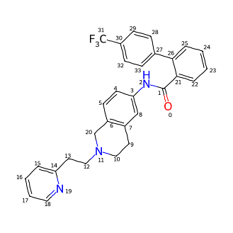 O=C(Nc1ccc2c(c1)CCN(CCc1ccccn1)C2)c1ccccc1-c1ccc(C(F)(F)F)cc1